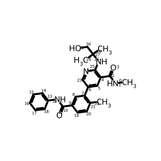 CNC(=O)c1cc(-c2cc(C(=O)Nc3ccccc3)ccc2C)cnc1NC(C)(C)CO